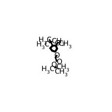 COc1cc(OCC(=O)OC(C)(C)C)ccc1C(C)(C)C